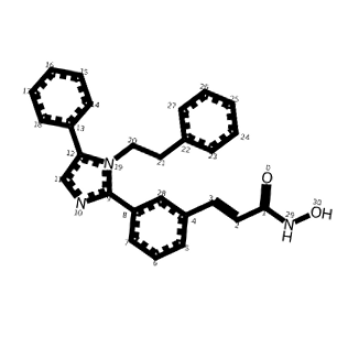 O=C(C=Cc1cccc(-c2ncc(-c3ccccc3)n2CCc2ccccc2)c1)NO